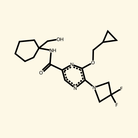 O=C(NC1(CO)CCCCC1)c1cnc(N2CC(F)(F)C2)c(OCC2CC2)n1